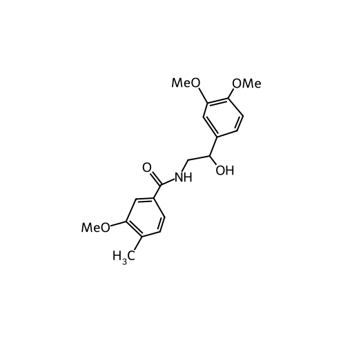 COc1cc(C(=O)NCC(O)c2ccc(OC)c(OC)c2)ccc1C